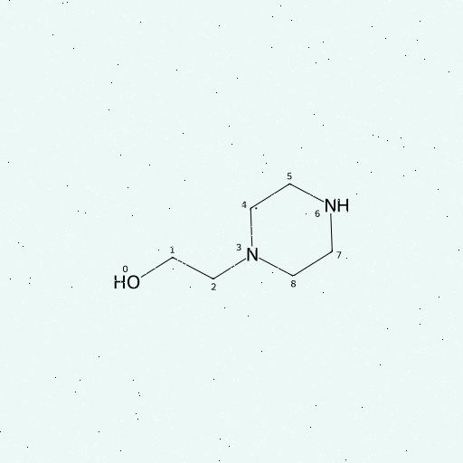 OCCN1[CH]CNCC1